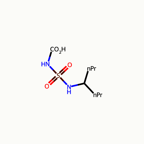 CCCC(CCC)NS(=O)(=O)NC(=O)O